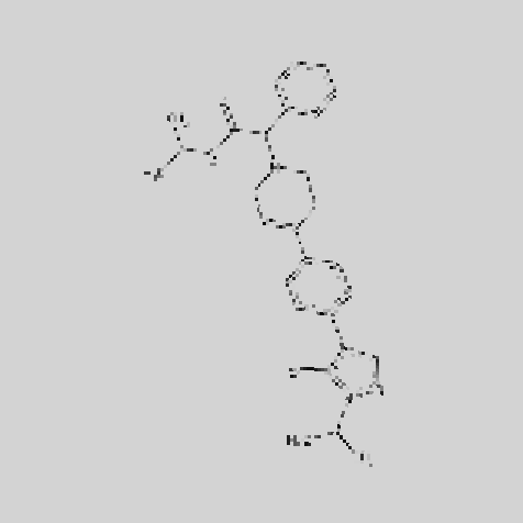 CC(C)NC(=O)C(c1ccccc1)N1CC=C(c2ccc(-n3cnn(C(C)C)c3=O)cc2)CC1